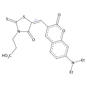 CCN(CC)c1ccc2cc(/C=C3/SC(=S)N(CCC(=O)O)C3=O)c(=O)oc2c1